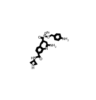 CCCN(OCc1ccc(N)cc1)C(=O)C1=Cc2ccc(C(=O)NC3CNC3)cc2N=C(N)C1